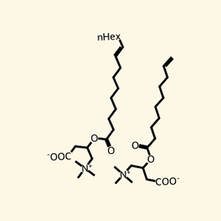 C=CCCCCCCCC(=O)OC(CC(=O)[O-])C[N+](C)(C)C.CCCCCCC=CCCCCCCCC(=O)OC(CC(=O)[O-])C[N+](C)(C)C